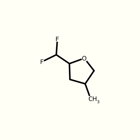 CC1COC(C(F)F)C1